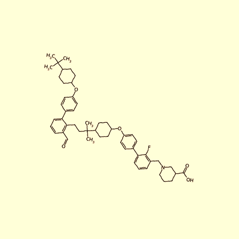 CC(C)(C)C1CCC(Oc2ccc(-c3cccc(C=O)c3CCC(C)(C)C3CCC(Oc4ccc(-c5cccc(CN6CCCC(C(=O)O)C6)c5F)cc4)CC3)cc2)CC1